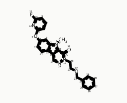 Cn1c2cc(Oc3cccc(F)n3)ccc2c2cnn(CCOCc3ccccc3)c(=O)c21